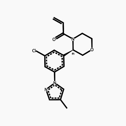 C=CC(=O)N1CCOC[C@H]1c1cc(Cl)cc(-n2cc(C)cn2)c1